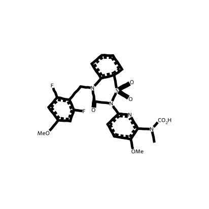 COc1cc(F)c(CN2C(=O)N(c3ccc(OC)c(N(C)C(=O)O)n3)S(=O)(=O)c3ccccc32)c(F)c1